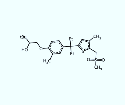 CCC(CC)(c1ccc(OCC(O)C(C)(C)C)c(C)c1)c1cc(C)c(CS(C)(=O)=O)s1